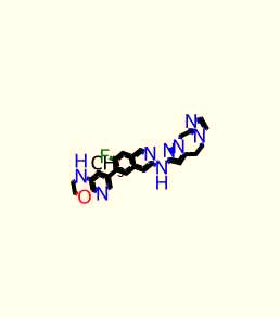 Cc1c(-c2cc3cc(Nc4cc5n(n4)Cc4nccn4CC5)ncc3cc2F)cnc2c1NCCO2